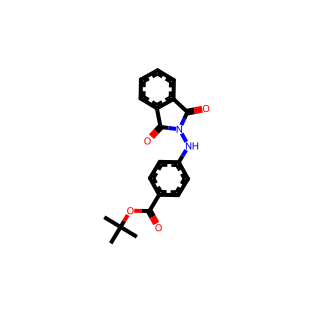 CC(C)(C)OC(=O)c1ccc(NN2C(=O)c3ccccc3C2=O)cc1